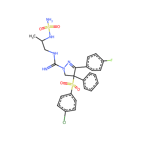 CC(CNC(=N)N1CC(c2ccccc2)(S(=O)(=O)c2ccc(Cl)cc2)C(c2ccc(F)cc2)=N1)NS(N)(=O)=O